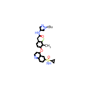 Cc1c(Oc2ccnc3ccc(S(=N)(=O)C4CC4)cc23)ccc(CC(=O)Nc2cnn(C(C)(C)C)c2)c1F